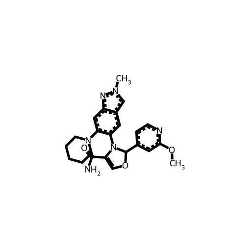 COc1cc(C2OC=C(C(N)=O)N2c2cc3cn(C)nc3cc2N2CCCCC2)ccn1